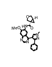 COc1cc2ncnc(-c3cn(C)nc3-c3ccccc3)c2cc1NC(=O)[C@]12COC[C@H]1C2